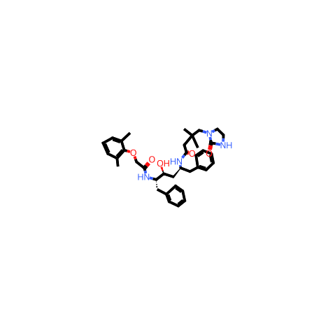 Cc1cccc(C)c1OCC(=O)N[C@@H](Cc1ccccc1)[C@@H](O)C[C@H](Cc1ccccc1)NC(=O)CC(C)(C)CN1CCNC1=O